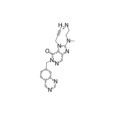 CC#CCn1c(N(C)CCN)nc2cnn(Cc3ccc4cncnc4c3)c(=O)c21